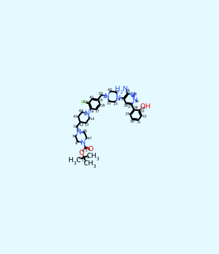 CC(C)(C)OC(=O)N1CCN(CC2CCN(c3ccc(CN4CCN(c5cc(-c6ccccc6O)nnc5N)CC4)cc3F)CC2)CC1